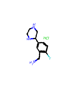 Cl.NCc1cc(C2CNCCN2)ccc1F